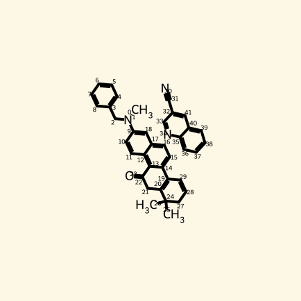 CN(Cc1ccccc1)c1ccc2c3c(ccc2c1)C1=C(CC3=O)C(C)(C)CC=C1.N#Cc1cnc2ccccc2c1